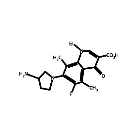 CCn1cc(C(=O)O)c(=O)c2c(C)c(F)c(N3CCC(N)C3)c(C)c21